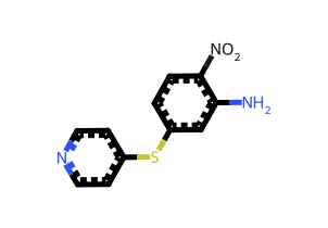 Nc1cc(Sc2ccncc2)ccc1[N+](=O)[O-]